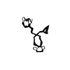 c1cc(CCC2(CC3CC3)CCC3(CC2)OCCO3)no1